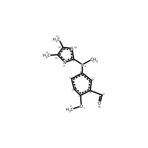 COc1ccc(N(C)c2nc(C)c(C)s2)cc1C=O